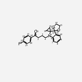 O=C(CCCN1c2ccccc2C2(OCCO2)C12CC2)c1ccc(F)cc1